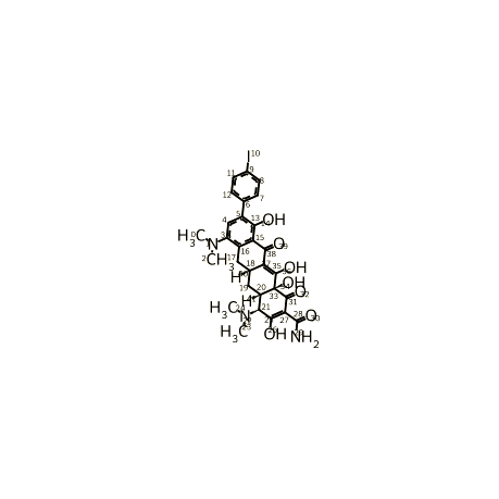 CN(C)c1cc(-c2ccc(I)cc2)c(O)c2c1C[C@H]1C[C@H]3[C@H](N(C)C)C(O)=C(C(N)=O)C(=O)[C@@]3(O)C(O)=C1C2=O